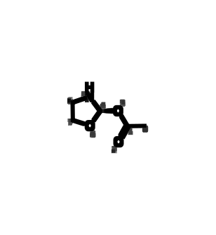 CC(=O)O[C@@H]1NCCO1